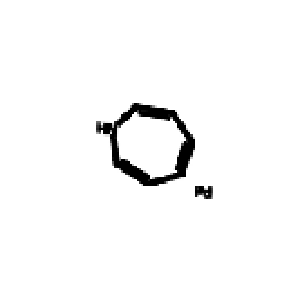 C1=CC=CNC=C1.[Pd]